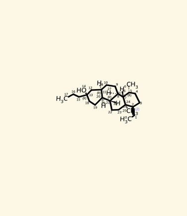 C/C=C1/CC[C@@H](C)[C@H]2[C@@H]3CC[C@@H]4C[C@@](O)(CCC)CC[C@@H]4[C@H]3CC[C@]12C